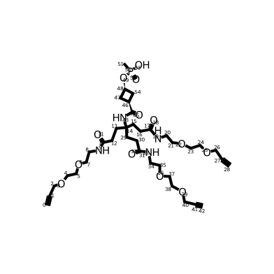 C#CCOCCOCCNC(=O)CCC(CCC(=O)NCCOCCOCC#C)(CCC(=O)NCCOCCOCC#C)NC(=O)[C@H]1C[C@H](OP(C)(=O)O)C1